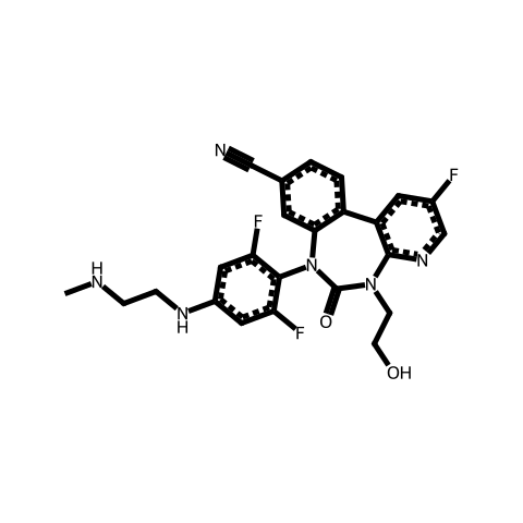 CNCCNc1cc(F)c(N2C(=O)N(CCO)c3ncc(F)cc3-c3ccc(C#N)cc32)c(F)c1